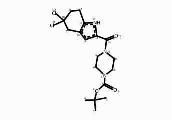 CC(C)(C)OC(=O)N1CCN(C(=O)c2cc3c([nH]2)CCC(Cl)(Cl)C3)CC1